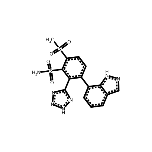 CS(=O)(=O)c1ccc(-c2cccc3cn[nH]c23)c(-c2nn[nH]n2)c1S(N)(=O)=O